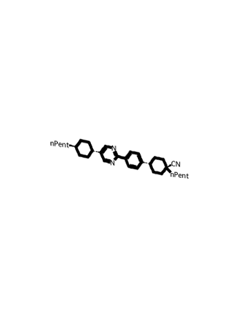 CCCCC[C@H]1CC[C@H](c2cnc(-c3ccc([C@H]4CC[C@@](C#N)(CCCCC)CC4)cc3)nc2)CC1